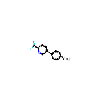 O=C(O)c1ccc(-c2ccc(C(F)F)nc2)cc1